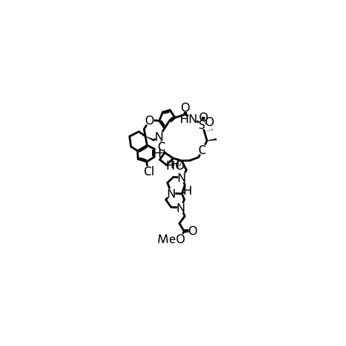 COC(=O)CCN1CCN2CCN(C[C@]3(O)CCC[C@H](C)[C@@H](C)S(=O)(=O)NC(=O)c4ccc5c(c4)N(C[C@@H]4CC[C@H]43)C[C@@]3(CCCc4cc(Cl)ccc43)CO5)C[C@H]2C1